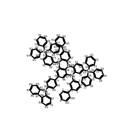 c1ccc(-c2cccc(N3c4cc([Si](c5ccccc5)(c5ccccc5)c5ccccc5)ccc4B4c5ccc(-c6ccccc6)cc5N(c5cccc([Si](c6ccccc6)(c6ccccc6)c6ccccc6)c5)c5cc(-c6ccc(-n7c8ccccc8c8ccccc87)cc6)cc3c54)c2)cc1